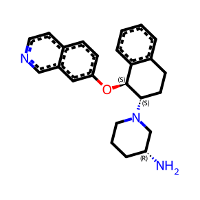 N[C@@H]1CCCN([C@H]2CCc3ccccc3[C@@H]2Oc2ccc3ccncc3c2)C1